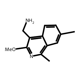 COc1nc(C)c2cc(C)ccc2c1CN